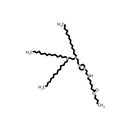 CCCCCCCCCCCCCCN(CCCCCCCCCCCCCC)CCN(CCCCCCCCCCCCCC)CCN1CCN(CCNCCCCCC(=O)OCCCCC)CC1